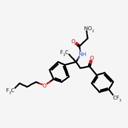 O=C(C[N+](=O)[O-])NC(CC(=O)c1ccc(C(F)(F)F)cc1)(c1ccc(OCCCC(F)(F)F)cc1)C(F)(F)F